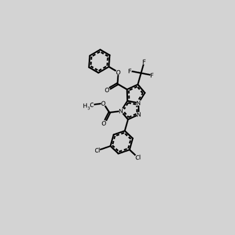 COC(=O)n1c(-c2cc(Cl)cc(Cl)c2)nn2cc(C(F)(F)F)c(C(=O)Oc3ccccc3)c12